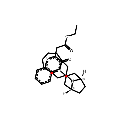 CCOC(=O)Cc1nc2ccccc2n(C2C[C@H]3CC[C@H](C2)N3C2CC3CCCCC(C3)C2)c1=O